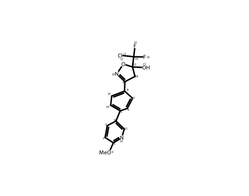 COc1ccc(-c2ccc(C3=NOC(O)(C(F)(F)Cl)C3)cc2)cn1